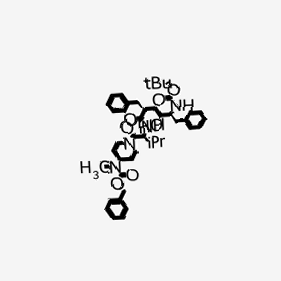 CC(C)[C@H](NC(=O)[C@@H](Cc1ccccc1)C[C@@H](O)[C@H](Cc1ccccc1)NC(=O)OC(C)(C)C)C(=O)N1CCC(N(C)C(=O)OCc2ccccc2)CC1